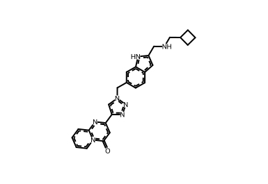 O=c1cc(-c2cn(Cc3ccc4cc(CNCC5CCC5)[nH]c4c3)nn2)nc2ccccn12